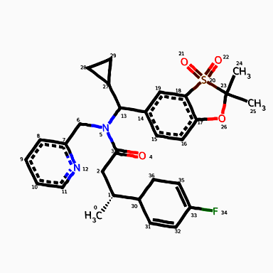 C[C@H](CC(=O)N(Cc1ccccn1)C(c1ccc2c(c1)S(=O)(=O)C(C)(C)O2)C1CC1)C1C=CC(F)=CC1